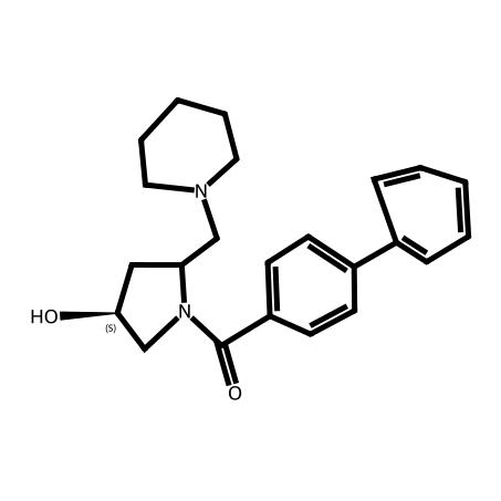 O=C(c1ccc(-c2ccccc2)cc1)N1C[C@@H](O)CC1CN1CCCCC1